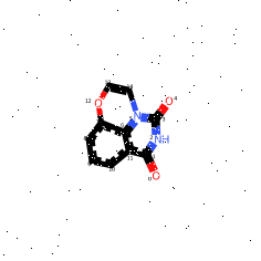 O=c1[nH]c(=O)n2c3c(cccc13)OC=C2